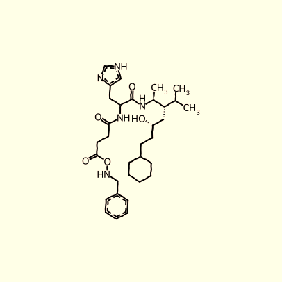 CC(C)[C@H](C[C@@H](O)CCC1CCCCC1)[C@H](C)NC(=O)C(Cc1c[nH]cn1)NC(=O)CCC(=O)ONCc1ccccc1